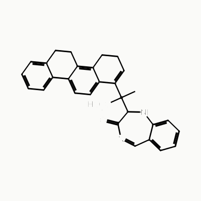 CC(C(=O)O)(C1=CCCc2c1ccc1c2CCc2ccccc2-1)C1Nc2ccccc2C=NC1=O